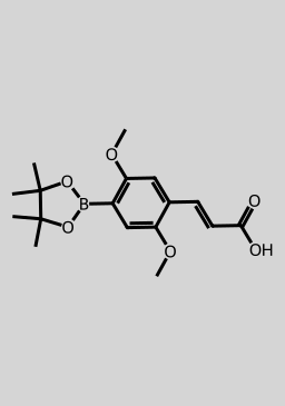 COc1cc(B2OC(C)(C)C(C)(C)O2)c(OC)cc1/C=C/C(=O)O